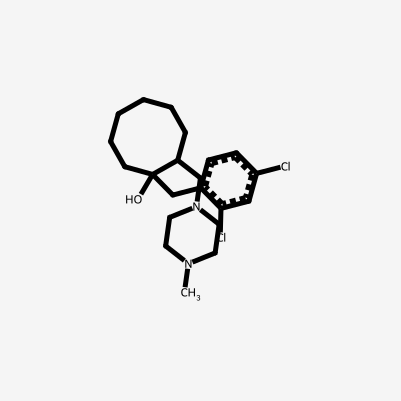 CN1CCN(CC2CCCCCCC2(O)Cc2ccc(Cl)cc2Cl)CC1